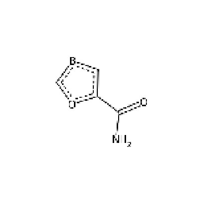 NC(=O)c1cbco1